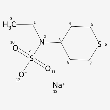 CCN(C1CCSCC1)S(=O)(=O)[O-].[Na+]